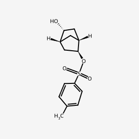 Cc1ccc(S(=O)(=O)O[C@H]2C[C@H]3C[C@@H]2C[C@H]3O)cc1